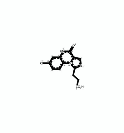 O=C(O)CCc1ncc2c(=O)[nH]c3cc(Cl)ccc3n12